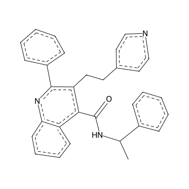 CC(NC(=O)c1c(CCc2ccncc2)c(-c2ccccc2)nc2ccccc12)c1ccccc1